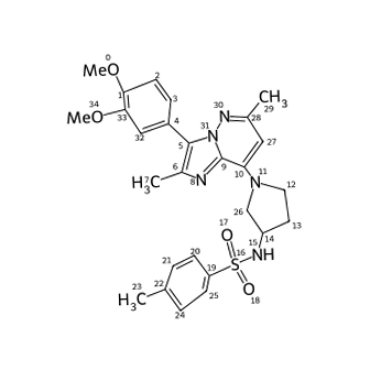 COc1ccc(-c2c(C)nc3c(N4CCC(NS(=O)(=O)c5ccc(C)cc5)C4)cc(C)nn23)cc1OC